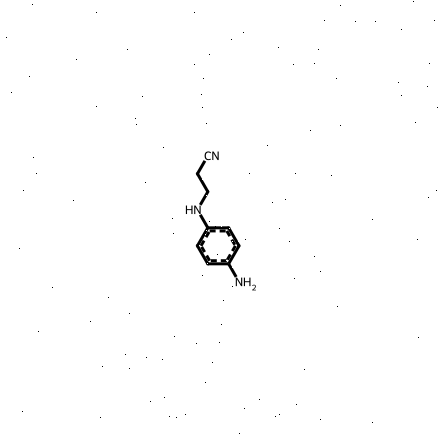 N#CCCNc1ccc(N)cc1